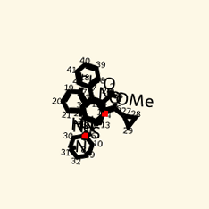 COC(=O)c1cc2sc(N3C4CC(NCc5c(-c6c(Cl)cccc6Cl)noc5C5CC5)CC3C4)nc2cc1-c1ccccc1